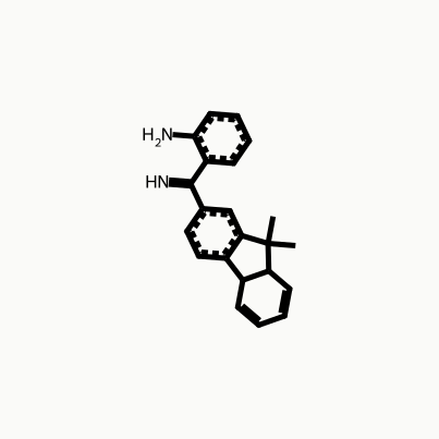 CC1(C)c2cc(C(=N)c3ccccc3N)ccc2C2C=CC=CC21